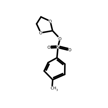 Cc1ccc(S(=O)(=O)OC2OCCO2)cc1